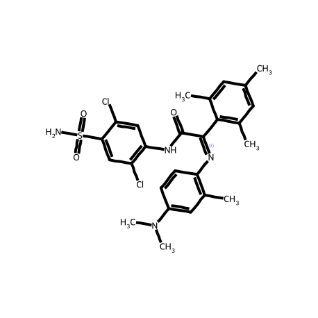 Cc1cc(C)c(/C(=N/c2ccc(N(C)C)cc2C)C(=O)Nc2cc(Cl)c(S(N)(=O)=O)cc2Cl)c(C)c1